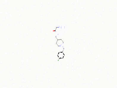 C[C@H](N)C(=O)NCC1CCN(Cc2ccc(Cl)cc2)CC1